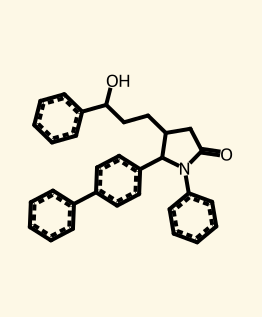 O=C1CC(CCC(O)c2ccccc2)C(c2ccc(-c3ccccc3)cc2)N1c1ccccc1